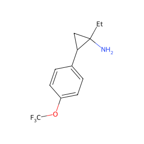 CCC1(N)CC1c1ccc(OC(F)(F)F)cc1